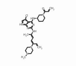 C=CC(=O)N1CCC[C@@H](Nc2nc(N/C(C)=C/C=C(\C=C)N3CCN(C)CC3)nc3[nH]cc(Cl)c23)C1